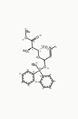 CC=CC(O[C@@H](C(=O)O)[C@@H](O)C(=O)OC(C)(C)C)O[Si](c1ccccc1)(c1ccccc1)C(C)(C)C